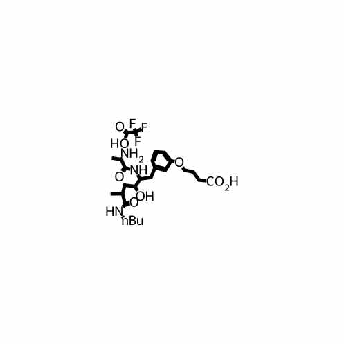 CCCCNC(=O)C(C)CC(O)C(Cc1cccc(OCCCC(=O)O)c1)NC(=O)C(C)N.O=C(O)C(F)(F)F